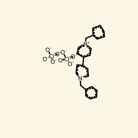 [O-][Cl+3]([O-])([O-])[O-].[O-][Cl+3]([O-])([O-])[O-].c1ccc(C[n+]2ccc(-c3cc[n+](Cc4ccccc4)cc3)cc2)cc1